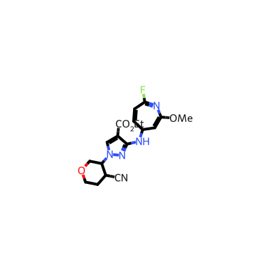 CCOC(=O)c1cn(C2COCCC2C#N)nc1NC1C=CC(F)=NC(OC)=C1